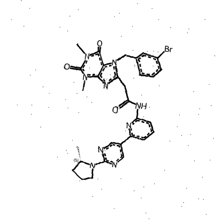 C[C@H]1CCCN1c1ncc(-c2cccc(NC(=O)Cc3nc4c(c(=O)n(C)c(=O)n4C)n3Cc3cccc(Br)c3)n2)cn1